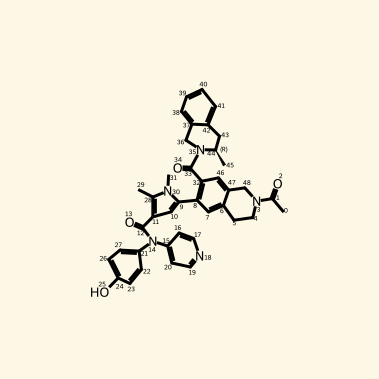 CC(=O)N1CCc2cc(-c3cc(C(=O)N(c4ccncc4)c4ccc(O)cc4)c(C)n3C)c(C(=O)N3Cc4ccccc4C[C@H]3C)cc2C1